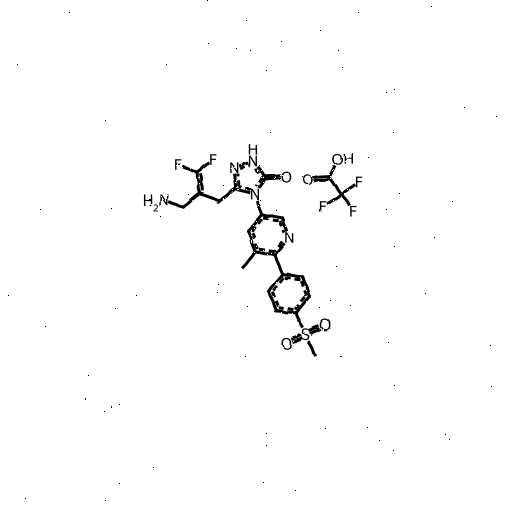 Cc1cc(-n2c(CC(CN)=C(F)F)n[nH]c2=O)cnc1-c1ccc(S(C)(=O)=O)cc1.O=C(O)C(F)(F)F